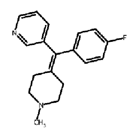 CN1CCC(=C(c2ccc(F)cc2)c2cccnc2)CC1